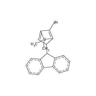 CC(C)C1=C2C(C3c4ccccc4-c4ccccc43)[C]=C1[Si]2(C)C